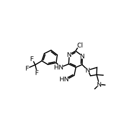 CN(C)C1(C)CN(c2nc(Cl)nc(Nc3cccc(C(F)(F)F)c3)c2C=N)C1